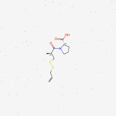 C=CCSSC[C@@H](C)C(=O)N1CCC[C@H]1C(=O)O